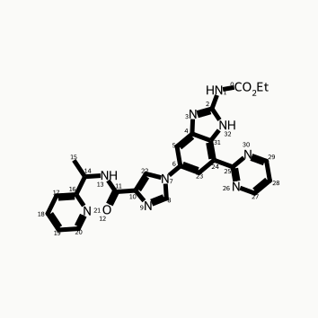 CCOC(=O)Nc1nc2cc(-n3cnc(C(=O)NC(C)c4ccccn4)c3)cc(-c3ncccn3)c2[nH]1